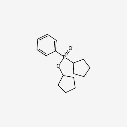 O=P(OC1CCCC1)(c1ccccc1)C1CCCC1